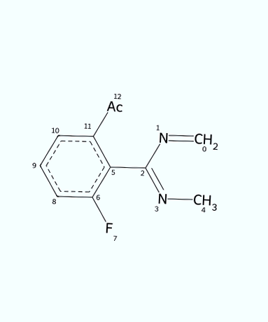 C=N/C(=N\C)c1c(F)cccc1C(C)=O